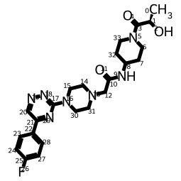 C[C@@H](O)C(=O)N1CCC(NC(=O)CN2CCN(c3nncc(-c4ccc(F)cc4)n3)CC2)CC1